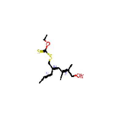 C/C=C/C(=C\C(C)=C(/C)CO)CSC(=S)OCC